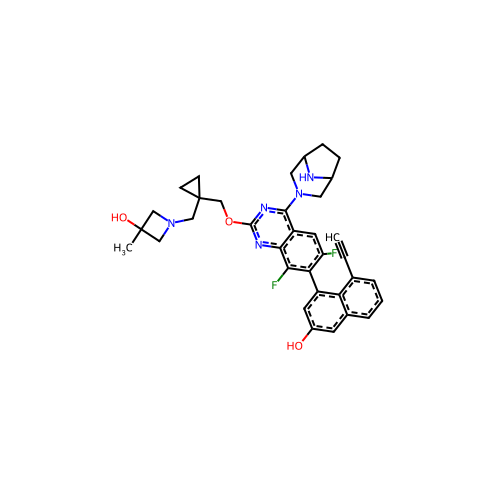 C#Cc1cccc2cc(O)cc(-c3c(F)cc4c(N5CC6CCC(C5)N6)nc(OCC5(CN6CC(C)(O)C6)CC5)nc4c3F)c12